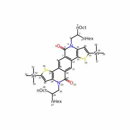 CCCCCCCCC(CCCCCC)Cn1c(=O)c2cc3c(cc2c2s[c]([Sn]([CH3])([CH3])[CH3])cc21)c(=O)n(CC(CCCCCC)CCCCCCCC)c1c[c]([Sn]([CH3])([CH3])[CH3])sc31